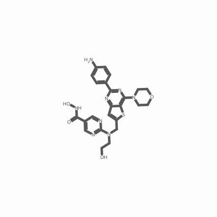 Nc1ccc(-c2nc(N3CCOCC3)c3sc(CN(CCO)c4ncc(C(=O)NO)cn4)cc3n2)cc1